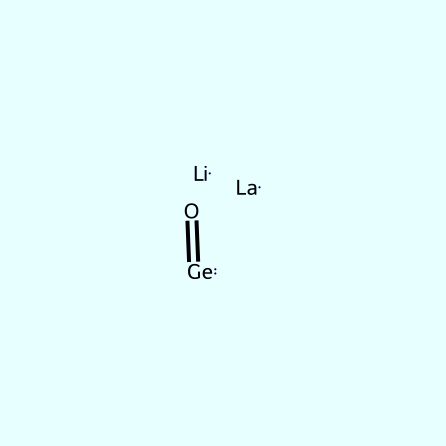 [La].[Li].[O]=[Ge]